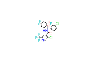 O=C(NC(c1cccc(Cl)c1F)C1(O)CCC(F)(F)CC1)c1cc(C(F)(F)F)ncc1Cl